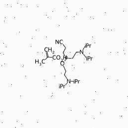 C=C(C)C(=O)O.CC(C)N(CCOP(CCC#N)CCN(C(C)C)C(C)C)C(C)C